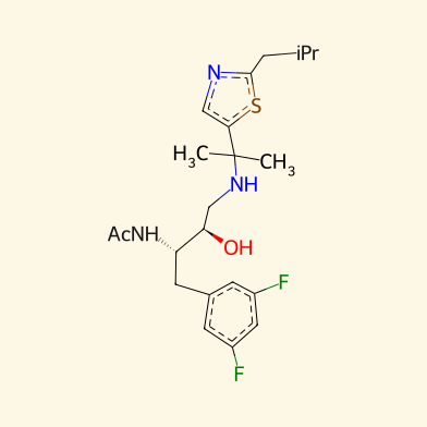 CC(=O)N[C@@H](Cc1cc(F)cc(F)c1)[C@H](O)CNC(C)(C)c1cnc(CC(C)C)s1